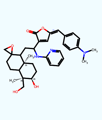 CN(C)c1ccc(/C=C2\C=C(C(CC3C4(CCC5[C@]3(C)CC[C@@H](O)[C@@]5(C)CO)CO4)Nc3ccccn3)C(=O)O2)cc1